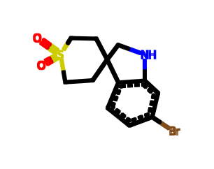 O=S1(=O)CCC2(CC1)CNc1cc(Br)ccc12